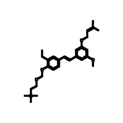 CCc1cc(C=Cc2cc(OC)cc(OCC=C(C)C)c2)ccc1OCOCC[Si](C)(C)C